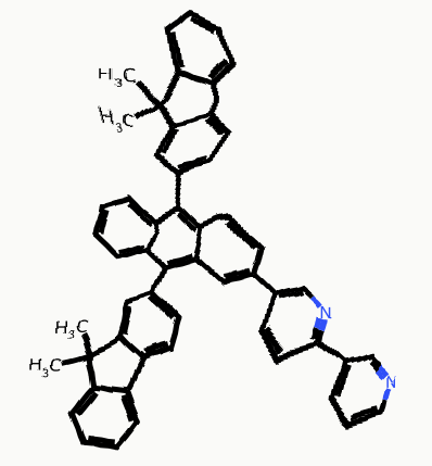 CC1(C)c2ccccc2-c2ccc(-c3c4ccccc4c(-c4ccc5c(c4)C(C)(C)c4ccccc4-5)c4cc(-c5ccc(-c6cccnc6)nc5)ccc34)cc21